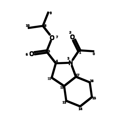 CC(=O)N1C(C(=O)OC(C)C)CC2CCCCC21